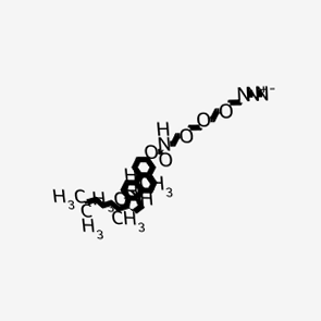 CC(C)CCC[C@@H](C)[C@H]1CC[C@H]2[C@@H]3CC=C4C[C@@H](OC(=O)NCCOCCOCCOCCN=[N+]=[N-])CC[C@]4(C)[C@H]3CC[C@]12C